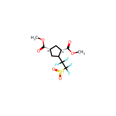 COC(=O)[C@H]1CC(C(F)(F)C(F)(F)[SH](=O)=O)[C@@H](C(=O)OC)C1